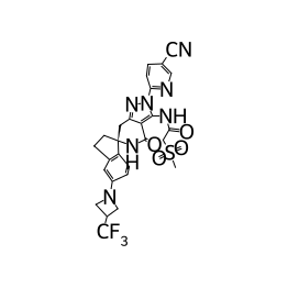 CS(=O)(=O)CC(=O)Nc1c2c(nn1-c1ccc(C#N)cn1)C[C@@]1(CCc3cc(N4CC(C(F)(F)F)C4)ccc31)NC2=O